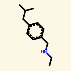 CCNCc1ccc(CC(C)C)cc1